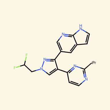 CC(C)c1nccc(-c2cn(CC(F)F)nc2-c2cnc3[nH]ccc3c2)n1